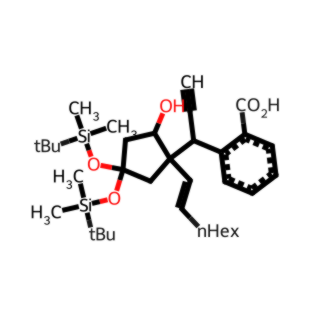 C#CC(c1ccccc1C(=O)O)C1(C=CCCCCCC)CC(O[Si](C)(C)C(C)(C)C)(O[Si](C)(C)C(C)(C)C)CC1O